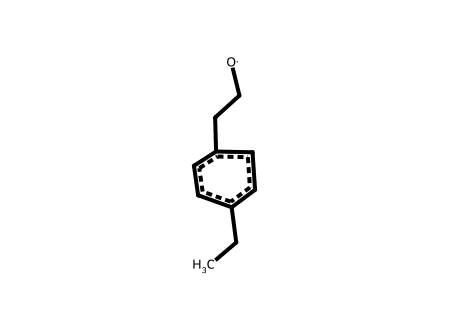 CCc1ccc(CC[O])cc1